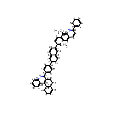 C=C(/C=C\c1ccc2ccc(C3=CC=CCC3)nc2c1C)c1ccc2cc(-c3ccc(-c4nc5ccccc5c5c4CCC4=C5CCC=C4)cc3)ccc2c1